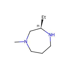 CC[C@@H]1CN(C)CCCN1